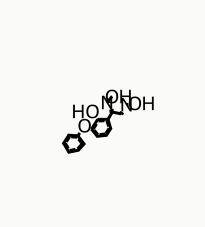 ON=CC(=NO)c1cccc(Oc2ccccc2)c1O